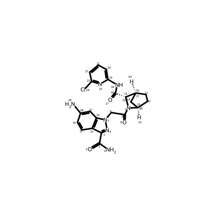 NC(=O)c1nn(CC(=O)N2[C@@H]3CC[C@@H](C3)[C@H]2C(=O)Nc2cccc(Cl)n2)c2cc(N)ccc12